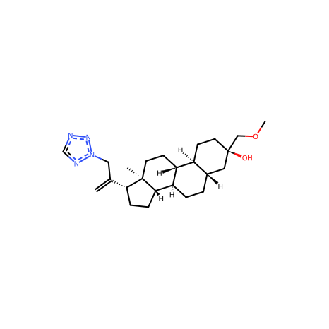 C=C(Cn1ncnn1)[C@H]1CC[C@H]2[C@@H]3CC[C@H]4C[C@@](O)(COC)CC[C@@H]4[C@H]3CC[C@]12C